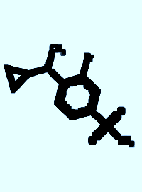 CN(c1ccc(S(N)(=O)=O)cc1Br)C1CC1